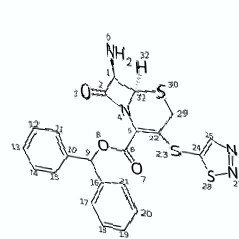 N[C@@H]1C(=O)N2C(C(=O)OC(c3ccccc3)c3ccccc3)=C(Sc3cnns3)CS[C@H]12